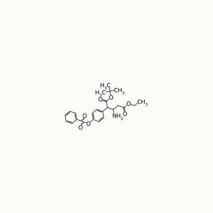 CCOC(=O)CC(N)C(C(=O)OC(C)(C)C)c1ccc(OS(=O)(=O)c2ccccc2)cc1